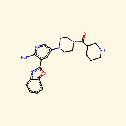 Nc1ncc(N2CCN(C(=O)C3CCCNC3)CC2)cc1-c1nc2ccccc2o1